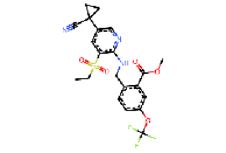 CCS(=O)(=O)c1cc(C2(C#N)CC2)cnc1NCc1ccc(OC(F)(F)F)cc1C(=O)OC